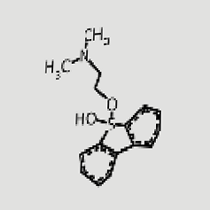 CN(C)CCOS1(O)c2ccccc2-c2ccccc21